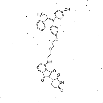 CCC(=C(c1ccc(O)cc1)c1ccc(OCCOCCNc2cccc3c2C(=O)N(C2CCC(=O)NC2=O)C3=O)cc1)c1ccccc1